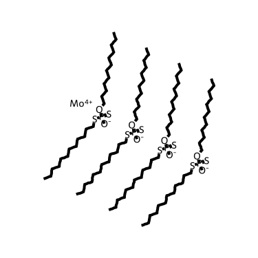 CCCCCCCCCCCCOP([O-])(=S)SCCCCCCCCCCCC.CCCCCCCCCCCCOP([O-])(=S)SCCCCCCCCCCCC.CCCCCCCCCCCCOP([O-])(=S)SCCCCCCCCCCCC.CCCCCCCCCCCCOP([O-])(=S)SCCCCCCCCCCCC.[Mo+4]